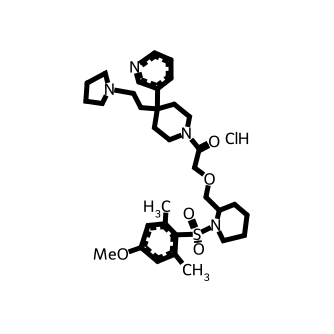 COc1cc(C)c(S(=O)(=O)N2CCCCC2COCC(=O)N2CCC(CCN3CCCC3)(c3cccnc3)CC2)c(C)c1.Cl